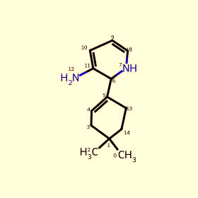 CC1(C)CC=C(C2N[C]=CC=C2N)CC1